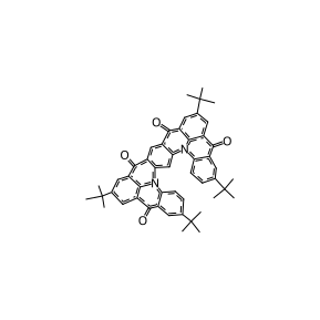 CC(C)(C)c1ccc2c(c1)c(=O)c1cc(C(C)(C)C)cc3c(=O)c4cc5c(=O)c6cc(C(C)(C)C)cc7c(=O)c8cc(C(C)(C)C)ccc8n(c5cc4n2c13)c76